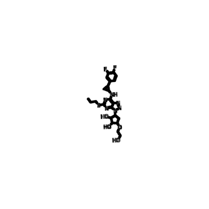 CCCSc1nc(NC2CC2c2ccc(F)c(F)c2)c2nnn(C3CC(OCCO)C(O)C3O)c2n1